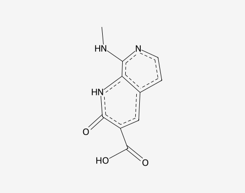 CNc1nccc2cc(C(=O)O)c(=O)[nH]c12